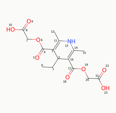 CCC1C(C(=O)OCC(=O)O)=C(C)NC(C)=C1C(=O)OCC(=O)O